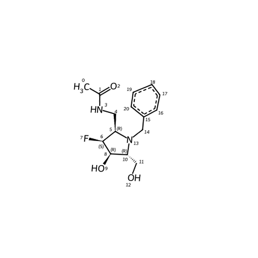 CC(=O)NC[C@@H]1[C@H](F)[C@H](O)[C@@H](CO)N1Cc1ccccc1